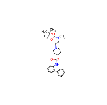 CN(CCN1CCC(OC(=O)Nc2ccccc2-c2ccccc2)CC1)C(=O)OC(C)(C)C